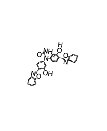 NC(=O)N(c1ccc(-c2nc3ccccc3o2)c(O)c1)c1ccc(-c2nc3ccccc3o2)c(O)c1